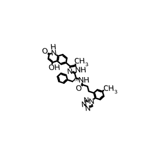 Cc1ccc(-n2cnnn2)c(CCC(=O)N[C@@H](Cc2ccccc2)c2nc(-c3ccc4[nH]c(=O)cc(O)c4c3)c(C)[nH]2)c1